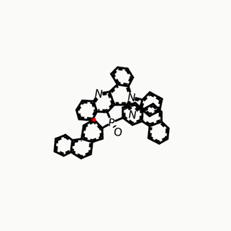 O=P(c1ccc2c(ccc3ccccc32)c1)(c1ccc2ccc3ccccc3c2c1)c1c2ccccc2nc2c3ccccc3n3c4ccccc4nc3c12